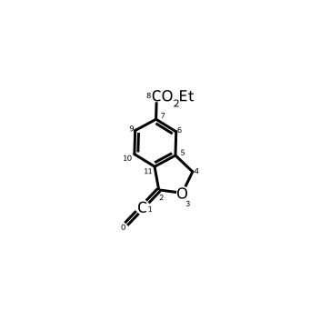 C=C=C1OCc2cc(C(=O)OCC)ccc21